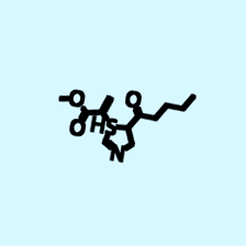 C=C(C(=O)OC)[SH]1C=NCC1C(=O)CCCC